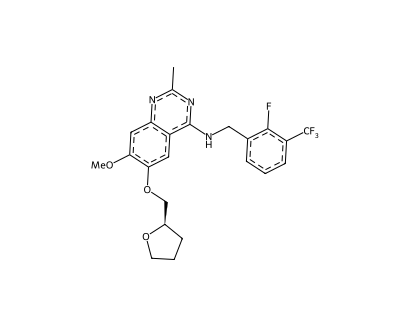 COc1cc2nc(C)nc(NCc3cccc(C(F)(F)F)c3F)c2cc1OC[C@H]1CCCO1